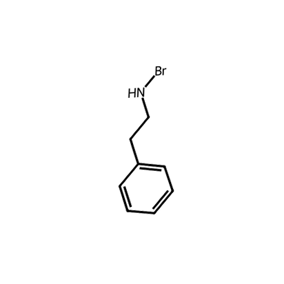 BrNCCc1ccccc1